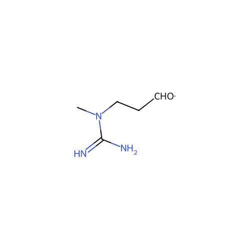 CN(CC[C]=O)C(=N)N